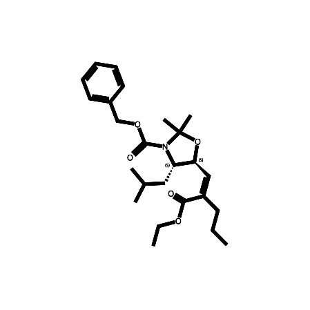 CCCC(=C[C@@H]1OC(C)(C)N(C(=O)OCc2ccccc2)[C@H]1CC(C)C)C(=O)OCC